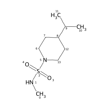 CNS(=O)(=O)N1CCC(C(C)C)CC1